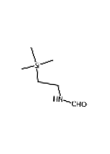 C[Si](C)(C)CCN[C]=O